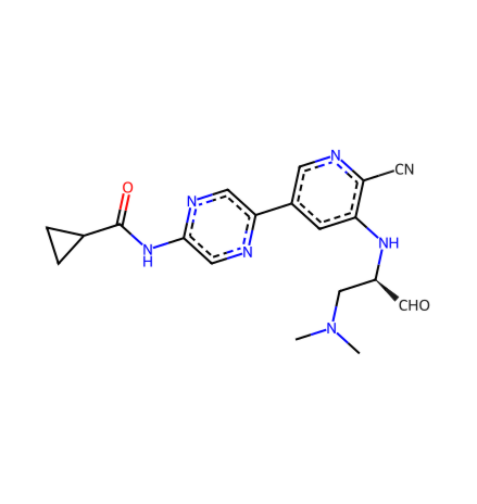 CN(C)C[C@H](C=O)Nc1cc(-c2cnc(NC(=O)C3CC3)cn2)cnc1C#N